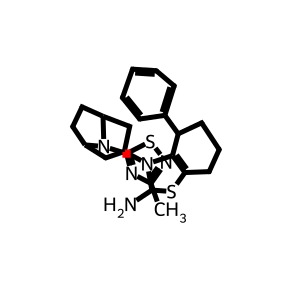 Cc1nsc(N2C3CCC2CC(N2C4=C(CCCC4c4ccccc4)SC2N)C3)n1